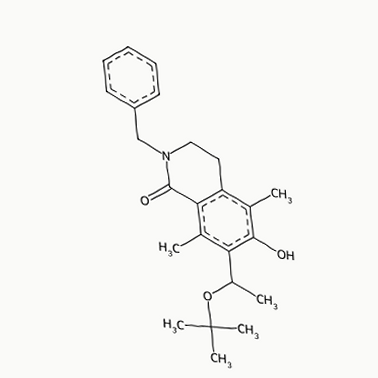 Cc1c(O)c(C(C)OC(C)(C)C)c(C)c2c1CCN(Cc1ccccc1)C2=O